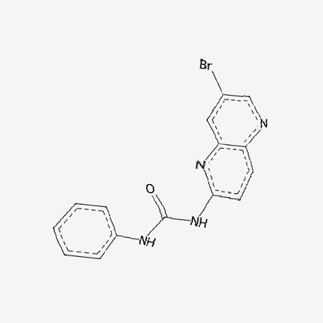 O=C(Nc1ccccc1)Nc1ccc2ncc(Br)cc2n1